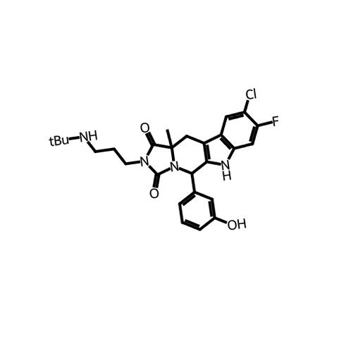 CC(C)(C)NCCCN1C(=O)N2C(c3cccc(O)c3)c3[nH]c4cc(F)c(Cl)cc4c3CC2(C)C1=O